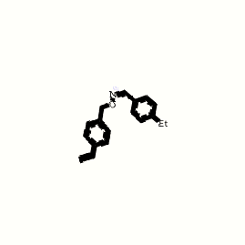 C=Cc1ccc(CO/N=[C]\c2ccc(CC)cc2)cc1